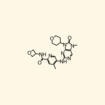 Cc1cc(C(=O)NC2COC2)ncc1Nc1ncc2c(n1)n(C1CCOCC1)c(=O)n2C